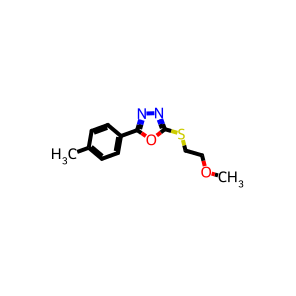 COCCSc1nnc(-c2ccc(C)cc2)o1